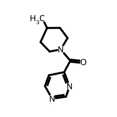 CC1CCN(C(=O)c2ccncn2)CC1